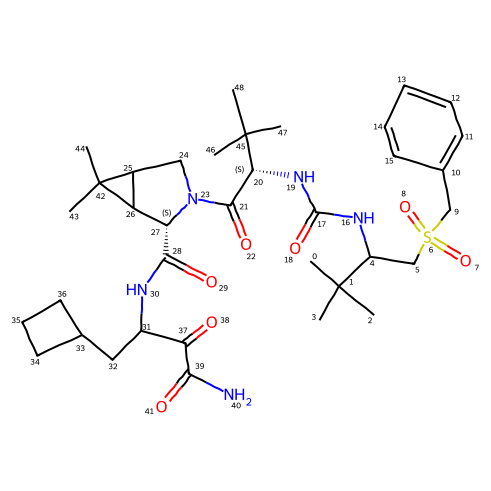 CC(C)(C)C(CS(=O)(=O)Cc1ccccc1)NC(=O)N[C@H](C(=O)N1CC2C([C@H]1C(=O)NC(CC1CCC1)C(=O)C(N)=O)C2(C)C)C(C)(C)C